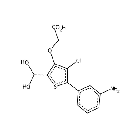 Nc1cccc(-c2sc(C(O)O)c(OCC(=O)O)c2Cl)c1